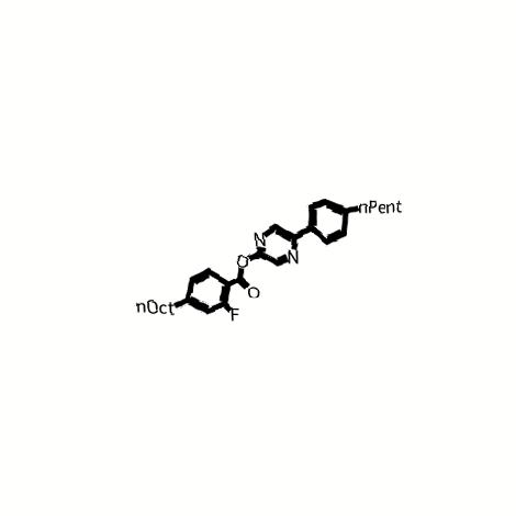 CCCCCCCCc1ccc(C(=O)Oc2cnc(-c3ccc(CCCCC)cc3)cn2)c(F)c1